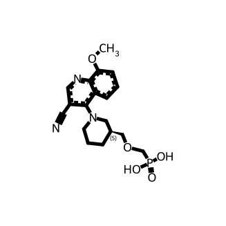 COc1cccc2c(N3CCC[C@H](COCP(=O)(O)O)C3)c(C#N)cnc12